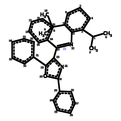 CC(C)c1cccc(C(C)C)c1/N=C(\c1ccccc1)c1nc(-c2ccccc2)oc1-c1ccccc1